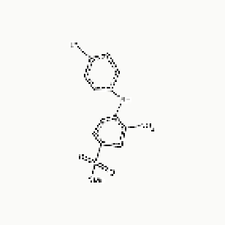 CCc1ccc(Nc2ccc(S(=O)(=O)NC)cc2[N+](=O)[O-])cc1